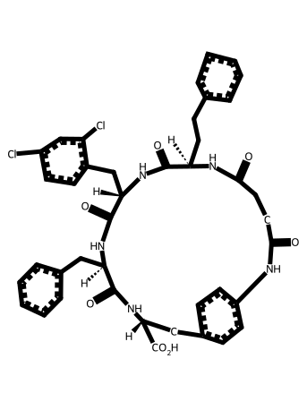 O=C1CCC(=O)N[C@H](CCc2ccccc2)C(=O)N[C@@H](Cc2ccc(Cl)cc2Cl)C(=O)N[C@H](Cc2ccccc2)C(=O)N[C@@H](C(=O)O)Cc2ccc(cc2)N1